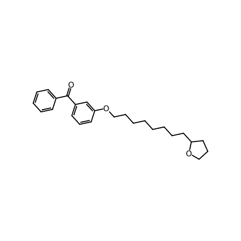 O=C(c1ccccc1)c1cccc(OCCCCCCCCC2CCCO2)c1